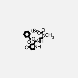 CN(CCNC(=O)c1[nH]ccc(=O)c1OCc1ccccc1)C(=O)OC(C)(C)C